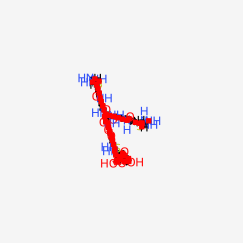 N=C1N[C@H]2[C@H](CS[C@H]2CCCCC(=O)NCCCCCC(=O)Nc2cc(NC(=O)CCCCCNC(=O)CCCC[C@@H]3SC[C@@H]4NC(=N)N[C@@H]43)cc(C(=O)NCCOCCOCCCCNC(=S)Nc3ccc4c(c3)C(=O)OC43c4ccc(O)cc4Oc4cc(O)ccc43)c2)N1